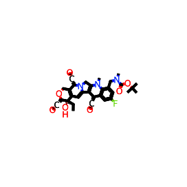 CC[C@@]1(O)C(=C=O)OCC2=C1C=C1C3=C(CN1C2=C=O)N(C)c1c(CN(C)C(=O)OC(C)(C)C)cc(F)cc1C3=C=O